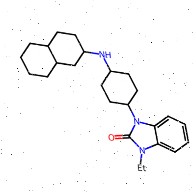 CCn1c(=O)n(C2CCC(NC3CCC4CCCCC4C3)CC2)c2ccccc21